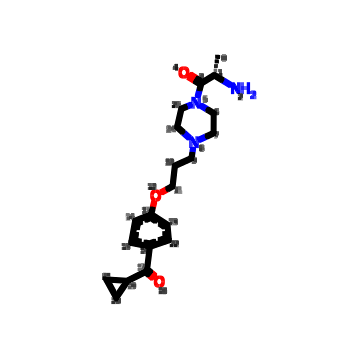 C[C@H](N)C(=O)N1CCN(CCCOc2ccc(C(=O)C3CC3)cc2)CC1